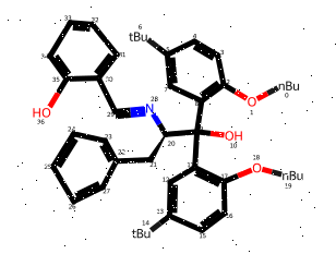 CCCCOc1ccc(C(C)(C)C)cc1C(O)(c1cc(C(C)(C)C)ccc1OCCCC)[C@@H](Cc1ccccc1)N=Cc1ccccc1O